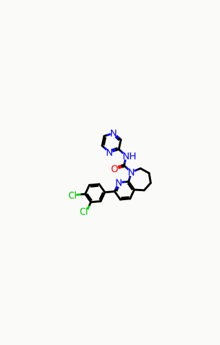 O=C(Nc1cnccn1)N1CCCCc2ccc(-c3ccc(Cl)c(Cl)c3)nc21